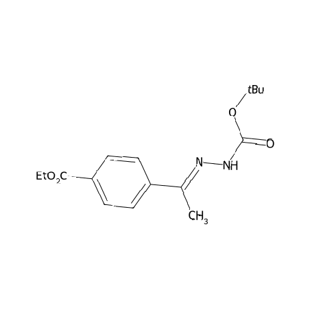 CCOC(=O)c1ccc(C(C)=NNC(=O)OC(C)(C)C)cc1